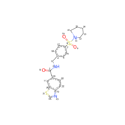 O=C(NCc1ccc(S(=O)(=O)N2CCCCC2)cc1)c1ccc2ncsc2c1